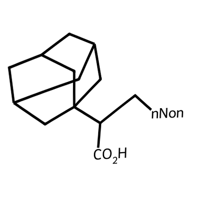 CCCCCCCCCCC(C(=O)O)C12CC3CC(CC(C3)C1)C2